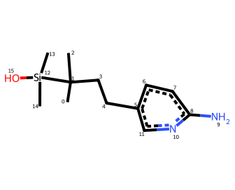 CC(C)(CCc1ccc(N)nc1)[Si](C)(C)O